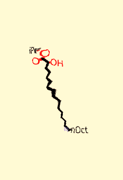 CCCCCCCC/C=C\CCCCCCCCCCCCC(O)C(=O)OC(C)C